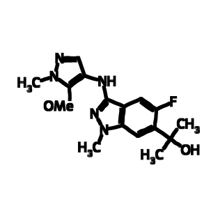 COc1c(Nc2nn(C)c3cc(C(C)(C)O)c(F)cc23)cnn1C